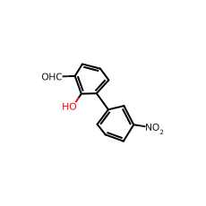 O=Cc1cccc(-c2cccc([N+](=O)[O-])c2)c1O